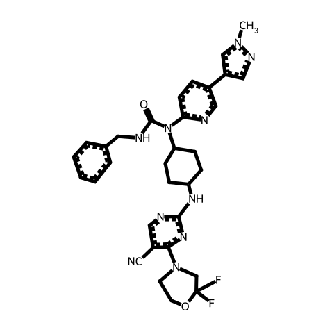 Cn1cc(-c2ccc(N(C(=O)NCc3ccccc3)C3CCC(Nc4ncc(C#N)c(N5CCOC(F)(F)C5)n4)CC3)nc2)cn1